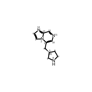 c1cn2c(C[C@H]3CCNC3)cncc2n1